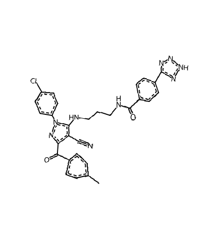 Cc1ccc(C(=O)c2nn(-c3ccc(Cl)cc3)c(NCCCNC(=O)c3ccc(-c4nn[nH]n4)cc3)c2C#N)cc1